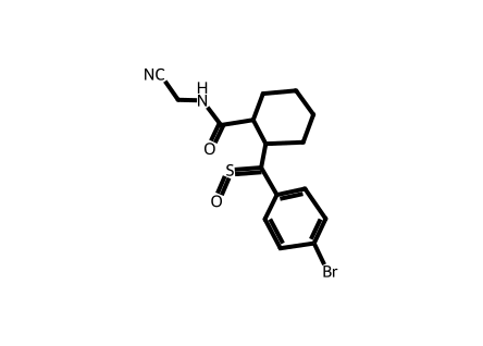 N#CCNC(=O)C1CCCCC1C(=S=O)c1ccc(Br)cc1